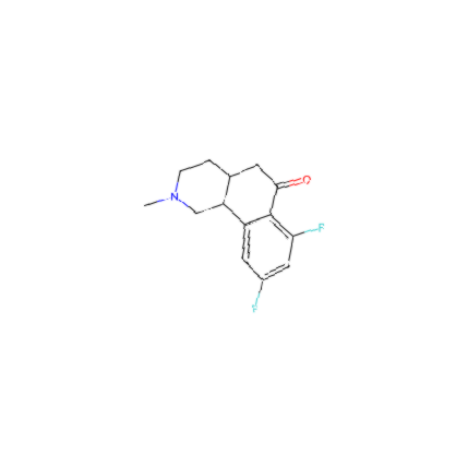 CN1CCC2CC(=O)c3c(F)cc(F)cc3C2C1